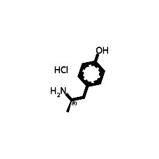 C[C@@H](N)Cc1ccc(O)cc1.Cl